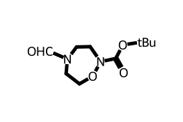 CC(C)(C)OC(=O)N1CCN(C=O)CCO1